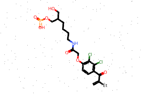 C=C(CC)C(=O)c1ccc(OCC(=O)NCCCCC(CO)CO[PH](=O)O)c(Cl)c1Cl